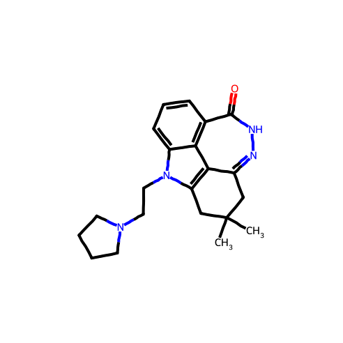 CC1(C)CC2=NNC(=O)c3cccc4c3c2c(n4CCN2CCCC2)C1